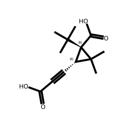 CC(C)(C)[C@]1(C(=O)O)[C@@H](C#CC(=O)O)C1(C)C